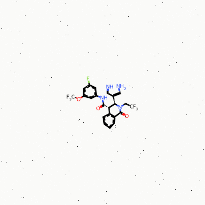 N=C/C(=C\N)[C@@H]1[C@@H](C(=O)Nc2cc(F)cc(OC(F)(F)F)c2)c2ccccc2C(=O)N1CC(F)(F)F